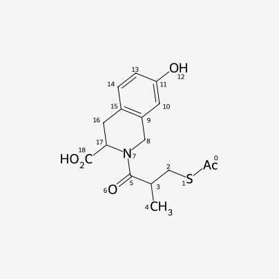 CC(=O)SCC(C)C(=O)N1Cc2cc(O)ccc2CC1C(=O)O